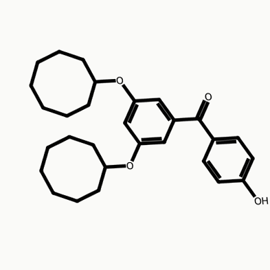 O=C(c1ccc(O)cc1)c1cc(OC2CCCCCCC2)cc(OC2CCCCCCC2)c1